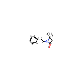 CC1CC(=O)N1CCc1ccccc1